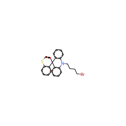 BrCCCCN1c2ccccc2C2(c3ccccc3Sc3ccccc32)c2ccccc21